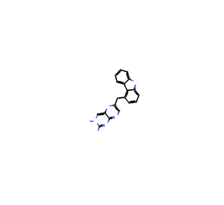 NC1=NC2=NC=C(Cc3cccc4[nH]c5ccccc5c34)NC2=CN1N